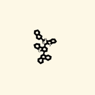 c1ccc2cc(-c3nc(-c4ccc(-c5cc6ccccc6c6ccccc56)c5oc6ccccc6c45)c4sc5ccccc5c4n3)ccc2c1